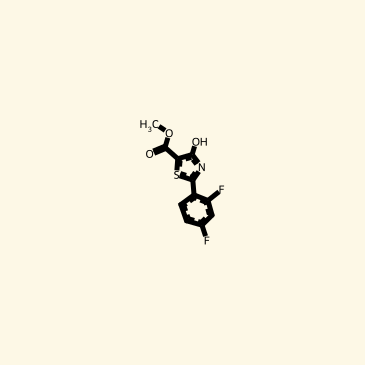 COC(=O)c1sc(-c2ccc(F)cc2F)nc1O